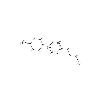 CCC[C@H]1CC[C@H](c2ccc(CCCO)cc2)CC1